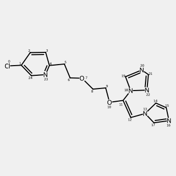 Clc1ccc(CCOCCOC(=Cn2ccnc2)n2cncn2)nc1